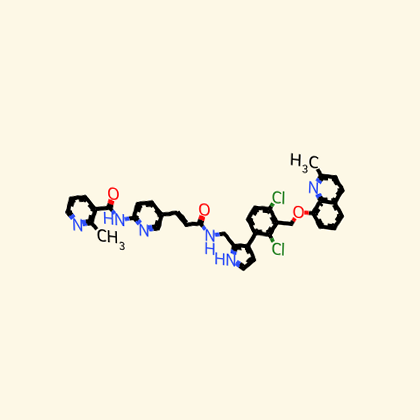 Cc1ccc2cccc(OCc3c(Cl)ccc(-c4cc[nH]c4CNC(=O)/C=C/c4ccc(NC(=O)c5cccnc5C)nc4)c3Cl)c2n1